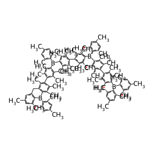 Cc1cc(C)c(B(c2c(C)cc(C)cc2C)c2c(C)c(C)c(-c3c(C)c(C)c(B(c4c(C)cc(C)cc4C)c4c(C)c(C)c(-c5c(C)c(C)c(B(c6c(C)cc(C)cc6C)c6c(C)c(C)c(-c7c(C)c(C)c8c(c7C)Cc7cc(C)cc(C)c7B8c7c(C)cc(C)cc7C)c(C)c6C)c(C)c5C)c(C)c4C)c(C)c3C)c(C)c2C)c(C)c1